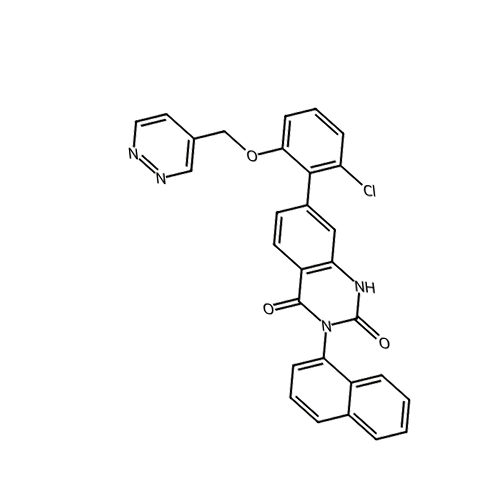 O=c1[nH]c2cc(-c3c(Cl)cccc3OCc3ccnnc3)ccc2c(=O)n1-c1cccc2ccccc12